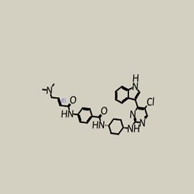 CN(C)C/C=C/C(=O)Nc1ccc(C(=O)N[C@H]2CC[C@H](Nc3ncc(Cl)c(-c4c[nH]c5ccccc45)n3)CC2)cc1